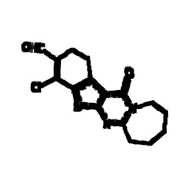 O=CC1=C(Cl)c2sc3nc4n(c(=O)c3c2CC1)CCCCC4